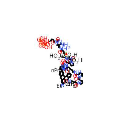 CCCc1cc2c(cc1C)C(c1ccccc1C(=O)N(C)CCCC(=O)N1CCCC1C(=O)N1CCCC1C(=O)NCCCCC(NC(=O)C1CCCN1C(=O)CCSSCCC(=O)NCc1cn([C@H]3CC[C@@H](COP(=O)(O)OP(=O)(O)OP(=O)(O)O)O3)c(=O)nc1N)C(=O)N1CCCC1C(=O)NC(CC(=O)O)C(=O)NC(CC(=O)O)C(=O)O)C1C=C(C)/C(=N/CC)C=C1C2